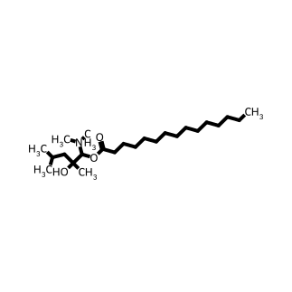 CCCCCCCCCCCCCCC(=O)OC(N(C)C)C(C)(O)CC(C)C